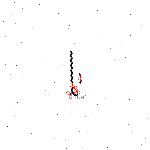 CCCCCCCCCCCCCCOC(=O)CC(O)(CC(=O)O)C(=O)O.CCOCC